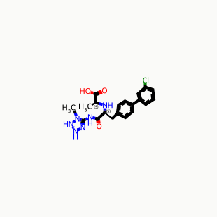 C[C@H](N[C@@H](Cc1ccc(-c2cccc(Cl)c2)cc1)C(=O)NC1=NNNN1C)C(=O)O